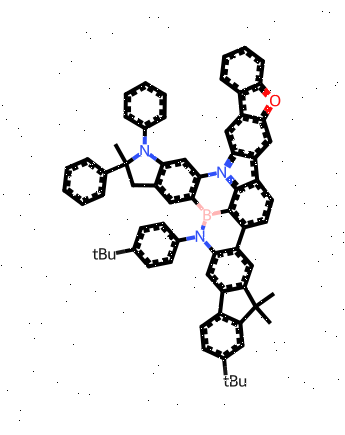 CC(C)(C)c1ccc(N2B3c4cc5c(cc4-n4c6cc7c(cc6c6ccc(c3c64)-c3cc4c(cc32)-c2ccc(C(C)(C)C)cc2C4(C)C)oc2ccccc27)N(c2ccccc2)C(C)(c2ccccc2)C5)cc1